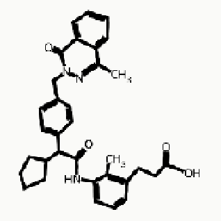 Cc1c(CCC(=O)O)cccc1NC(=O)C(c1ccc(Cn2nc(C)c3ccccc3c2=O)cc1)C1CCCC1